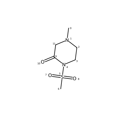 CN1CCN(S(C)(=O)=O)C(=O)C1